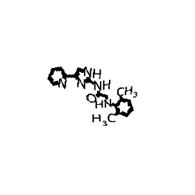 Cc1cccc(C)c1NCC(=O)Nc1nc(-c2ccccn2)c[nH]1